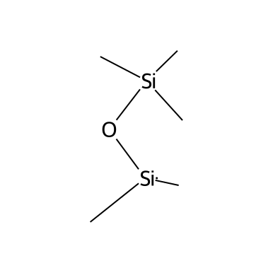 C[Si](C)O[Si](C)(C)C